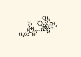 CCOC(=O)[C@H](C)NP(=O)(COCCN1C=NC2C(OC)=NC(N)=NC21)OCc1ccccc1